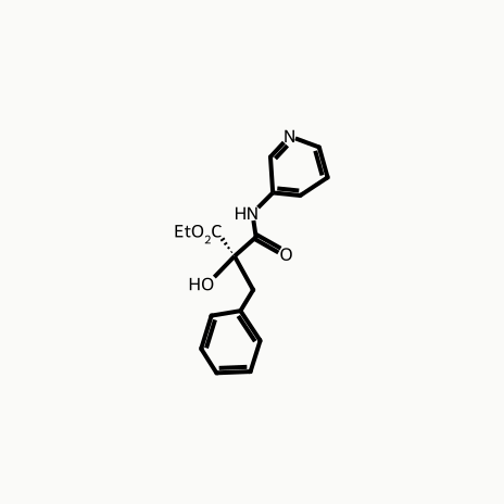 CCOC(=O)[C@@](O)(Cc1ccccc1)C(=O)Nc1cccnc1